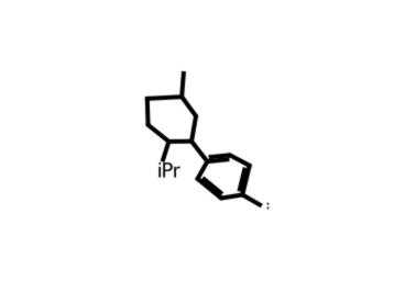 [CH]c1ccc(C2CC(C)CCC2C(C)C)cc1